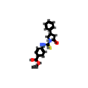 CCCCOC(=O)c1ccc(NC(=S)N2CC(c3ccccc3)CC2=O)cc1